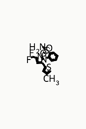 Cc1csc(-c2cc(C(F)F)nn2-c2ccccc2S(N)(=O)=O)c1